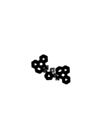 Clc1c(-n2nc3c4ccccc4c4cccc5ccc2c3c54)cccc1-n1nc2c3ccccc3c3cccc4ccc1c2c43